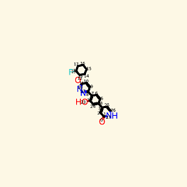 O=c1cc(-c2ccc(-c3ccc(O[C@H]4CCCC[C@@H]4F)nn3)c(O)c2)cc[nH]1